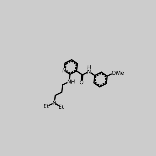 CCN(CC)CCCNc1ncccc1C(=O)Nc1cccc(OC)c1